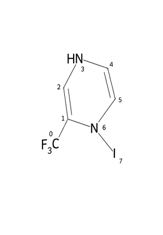 FC(F)(F)C1=CNC=CN1I